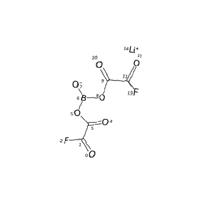 O=C(F)C(=O)OB([O-])OC(=O)C(=O)F.[Li+]